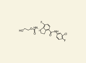 O=C(N[C@H]1CCc2c(C(=O)Nc3ccc(F)c(Cl)c3)ccc(F)c21)OCCO